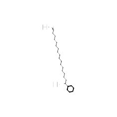 OCCCCCCCCCCCCCCCCCC(O)c1ccccc1